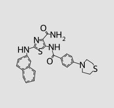 NC(=O)c1nc(Nc2ccc3ccccc3c2)sc1NC(=O)c1ccc(N2CCSCC2)cc1